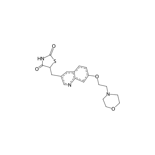 O=C1NC(=O)C(Cc2cnc3cc(OCCN4CCOCC4)ccc3c2)S1